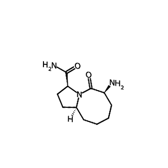 NC(=O)[C@@H]1CC[C@@H]2CCCC[C@H](N)C(=O)N21